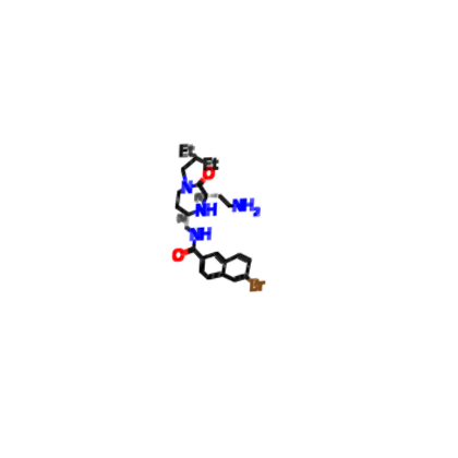 CCC(CC)CN1CC[C@@H](CNC(=O)c2ccc3cc(Br)ccc3c2)N[C@@H](CCN)C1=O